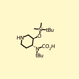 CC(C)(C)N(C(=O)O)[C@@H]1CCNC[C@H]1O[Si](C)(C)C(C)(C)C